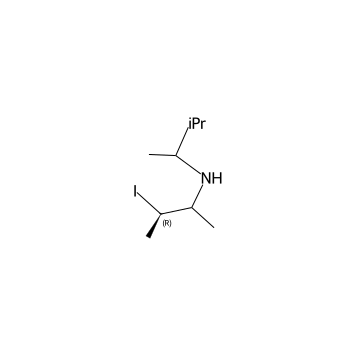 CC(C)C(C)NC(C)[C@@H](C)I